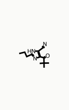 CCCc1nc(C(=O)C(C)(C)C)c(C#N)[nH]1